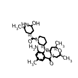 Cc1cc(N)c(N[C@@H]2CCCN(C(=O)[C@H]3CC(O)N[C@@H](C)C3)C2)c(C(=O)N2CC[C@@H](C)O[C@@H](C)C2)c1